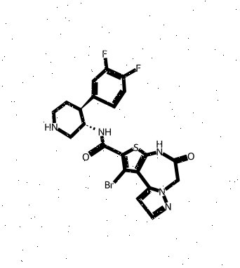 O=C1Cn2nccc2-c2c(sc(C(=O)N[C@@H]3CNCC[C@H]3c3ccc(F)c(F)c3)c2Br)N1